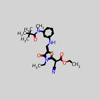 CCOC(=O)C(C#N)=c1sc(=CNc2cccc(N(C)C(=O)C(C)(C)C)c2)c(=O)n1CC